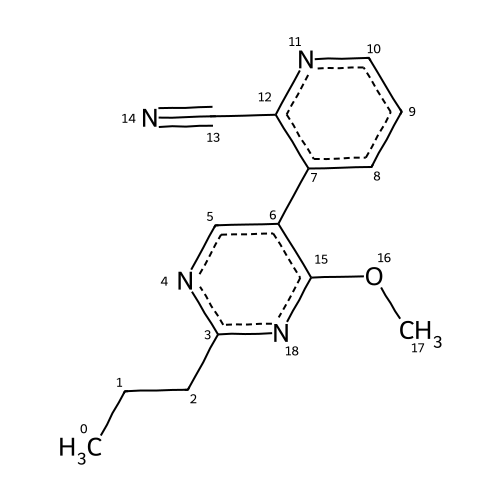 CCCc1ncc(-c2cccnc2C#N)c(OC)n1